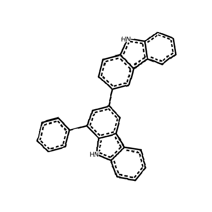 c1ccc(-c2cc(-c3ccc4[nH]c5ccccc5c4c3)cc3c2[nH]c2ccccc23)cc1